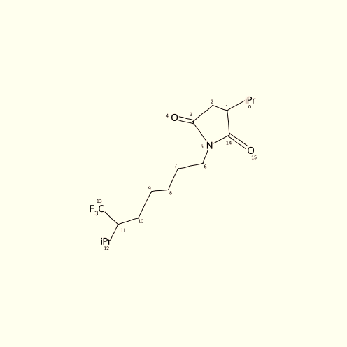 CC(C)C1CC(=O)N(CCCCCC(C(C)C)C(F)(F)F)C1=O